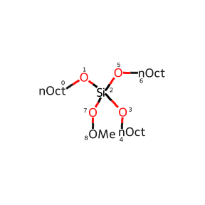 CCCCCCCCO[Si](OCCCCCCCC)(OCCCCCCCC)OOC